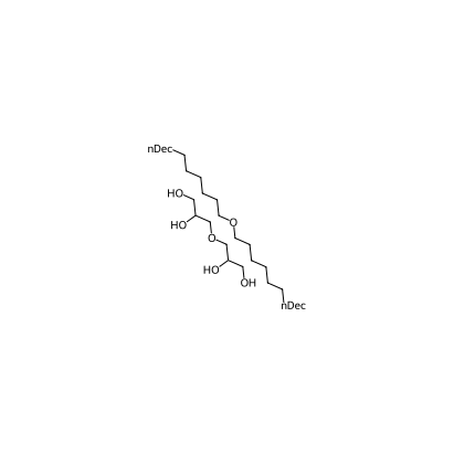 CCCCCCCCCCCCCCCCOCCCCCCCCCCCCCCCC.OCC(O)COCC(O)CO